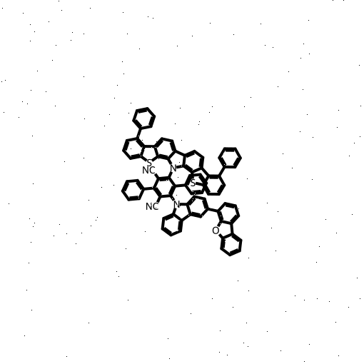 N#Cc1c(-c2ccccc2)c(C#N)c(-n2c3c(ccc4c3sc3cccc(-c5ccccc5)c34)c3ccc4c(sc5cccc(-c6ccccc6)c54)c32)c(-c2ccccc2)c1-n1c2ccccc2c2cc(-c3cccc4c3oc3ccccc34)ccc21